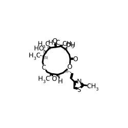 Cc1nc(C=C[C@@H]2C[C@@H]3O[C@]3(C)CCC[C@H](C)[C@H](O)[C@@H](C)C(=O)C(C)(C)[C@@H](O)CC(=O)O2)cs1